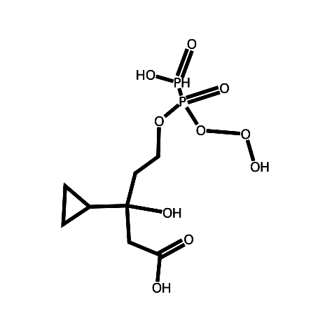 O=C(O)CC(O)(CCOP(=O)(OOO)[PH](=O)O)C1CC1